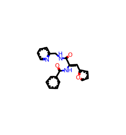 O=C(NCc1ccccn1)/C(=C/c1ccco1)NC(=O)c1ccccc1